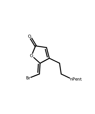 CCCCCCCC1=CC(=O)OC1=CBr